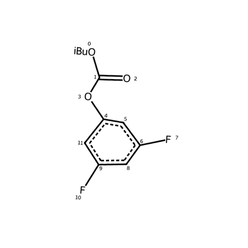 CC(C)COC(=O)Oc1cc(F)cc(F)c1